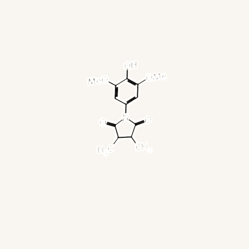 COc1cc(N2C(=O)C(C)C(C)C2=O)cc(OC)c1O